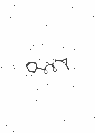 CC1CC1OC(=O)OC(=O)C1CC=CCC1